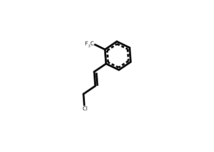 FC(F)(F)c1ccccc1C=CCCl